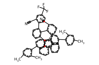 Cc1ccc(-c2ccc3c(c2)c2ccccc2n3-c2cccc(C#N)c2-c2c(-c3ccc(C(F)(F)F)cc3C#N)cccc2-n2c3ccccc3c3cc(-c4ccc(C)cc4C)ccc32)c(C)c1